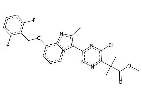 COC(=O)C(C)(C)c1nnc(-c2c(C)nc3c(OCc4c(F)cccc4F)cccn23)nc1Cl